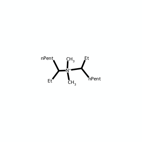 CCCCCC(CC)[N+](C)(C)C(CC)CCCCC